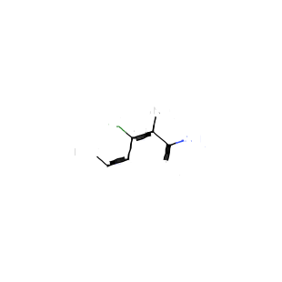 C=C(N)/C(=C(Cl)\C=C/C)[N+](=O)[O-]